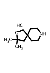 CC1(C)CC2(CCNCC2)CO1.Cl